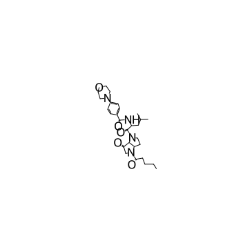 CCCCC(=O)N1CC(=O)C2C1CCN2C(=O)C(CC(C)C)NC(=O)c1ccc(N2CCOCC2)cc1